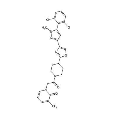 Cn1nc(-c2csc(C3CCN(C(=O)Cn4cccc(C(F)(F)F)c4=O)CC3)n2)cc1-c1c(Cl)cccc1Cl